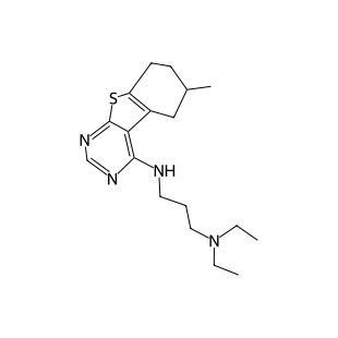 CCN(CC)CCCNc1ncnc2sc3c(c12)CC(C)CC3